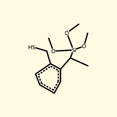 CO[Si](OC)(OC)C(C)c1ccccc1CS